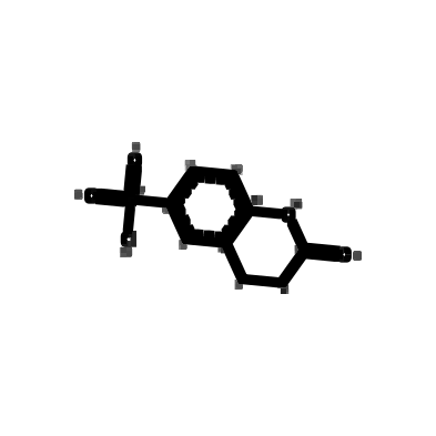 O=C1CCc2cc(S(=O)(=O)Cl)ccc2O1